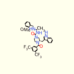 COc1ccccc1CNC(C)NC(=O)N1CCN(C(=O)c2cc(C(F)(F)F)cc(C(F)(F)F)c2)[C@H](Cc2c[nH]c3ccccc23)C1